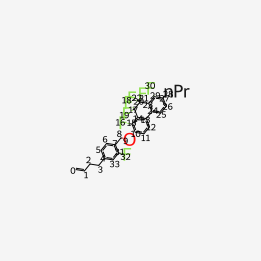 C=CCCc1ccc(COc2ccc3c(c2F)C(F)(F)C(F)(F)c2c-3ccc(CCC)c2F)c(F)c1